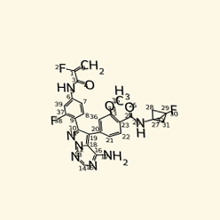 C=C(F)C(=O)Nc1ccc(-c2nn3ncnc(N)c3c2-c2ccc(C(=O)NC34CC(F)(C3)C4)c(OC)c2)c(F)c1